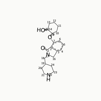 O=C1c2c(cccc2O[C@H]2CCCC[C@@H]2O)CN1CC1CCNCC1